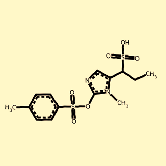 CCC(c1cnc(OS(=O)(=O)c2ccc(C)cc2)n1C)S(=O)(=O)O